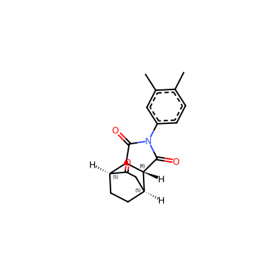 Cc1ccc(N2C(=O)C3[C@@H]4CC[C@@H](CC4=O)[C@H]3C2=O)cc1C